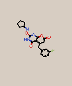 O=c1cc(Cc2cccc(F)c2)c2c(=O)[nH]c(ON=C3CCCC3)nc2o1